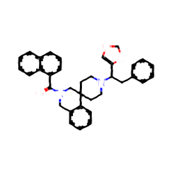 O=C(c1cccc2ccccc12)N1Cc2ccccc2C2(CCN(C(Cc3ccccc3)C3=COCO3)CC2)C1